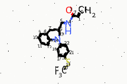 C=CC(=O)NCC1Cc2ccccc2N(c2ccc(SC(F)(F)F)cc2)C1